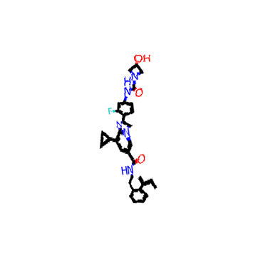 C/C=C(/C)c1ccccc1CCNC(=O)c1cc(C2CC2)c2nc(-c3ccc(NC(=O)N4CC(O)C4)cc3F)cn2c1